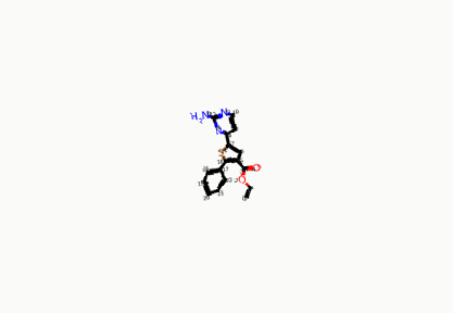 CCOC(=O)c1cc(-c2ccnc(N)n2)sc1-c1ccccc1